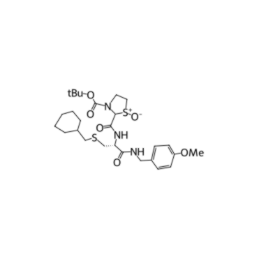 COc1ccc(CNC(=O)[C@H](CSCC2CCCCC2)NC(=O)C2N(C(=O)OC(C)(C)C)CC[S+]2[O-])cc1